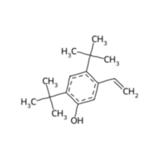 C=Cc1cc(O)c(C(C)(C)C)cc1C(C)(C)C